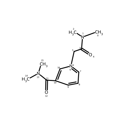 CN(C)C(=O)C[n+]1cccc(C(=O)N(C)C)c1